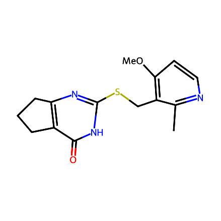 COc1ccnc(C)c1CSc1nc2c(c(=O)[nH]1)CCC2